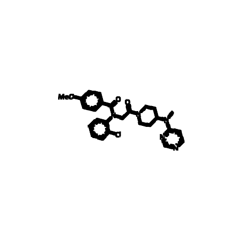 COc1ccc(C(=O)N(CC(=O)N2CCC(N(C)c3ccncn3)CC2)c2ccccc2Cl)cc1